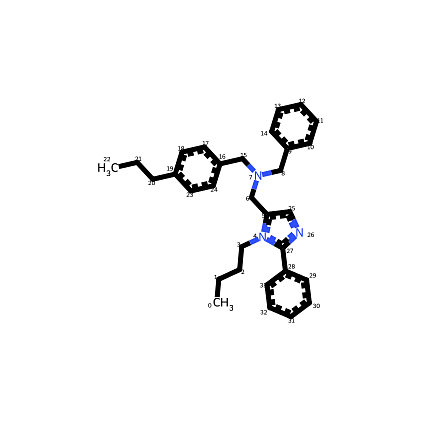 CCCCn1c(CN(Cc2ccccc2)Cc2ccc(CCC)cc2)cnc1-c1ccccc1